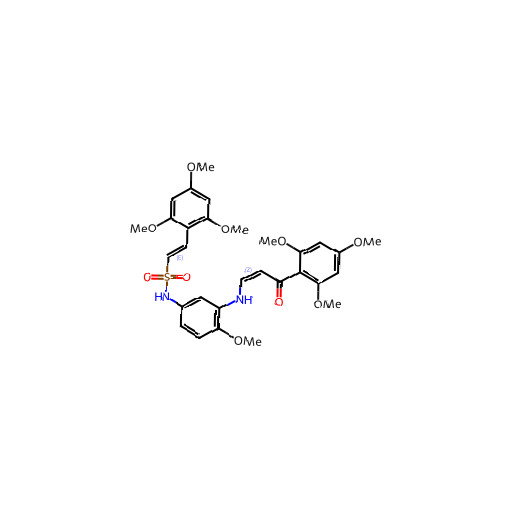 COc1cc(OC)c(/C=C/S(=O)(=O)Nc2ccc(OC)c(N/C=C\C(=O)c3c(OC)cc(OC)cc3OC)c2)c(OC)c1